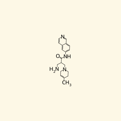 CC1=CCN(CC(CN)C(=O)Nc2ccc3cnccc3c2)CC1